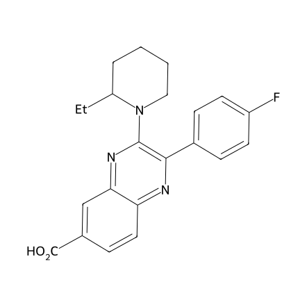 CCC1CCCCN1c1nc2cc(C(=O)O)ccc2nc1-c1ccc(F)cc1